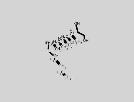 C=C.C=C.C=C.C=C.C=C.C=C.C=C.CC(C)OC(C)C.OCCO